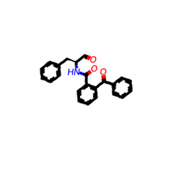 O=C[C@H](Cc1ccccc1)NC(=O)c1ccccc1C(=O)c1ccccc1